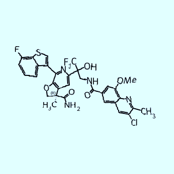 COc1cc(C(=O)NCC(O)(c2cc3c(c(-c4csc5c(F)cccc45)n2)OC[C@]3(C)C(N)=O)C(F)(F)F)cc2cc(Cl)c(C)nc12